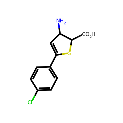 NC1C=C(c2ccc(Cl)cc2)SC1C(=O)O